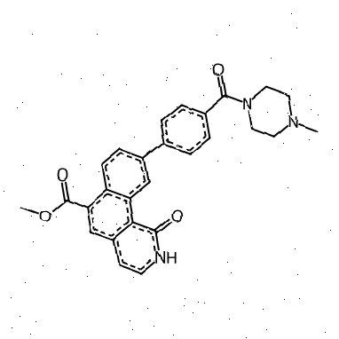 COC(=O)c1cc2cc[nH]c(=O)c2c2cc(-c3ccc(C(=O)N4CCN(C)CC4)cc3)ccc12